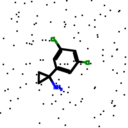 NC1(c2cc(Cl)cc(Cl)c2)CC1